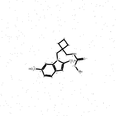 CC(C)(C)OC(=O)NCC1(Cn2c(C(=O)O)cc3ccc(C(=O)O)cc32)CCC1